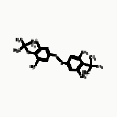 Cc1cc(SSc2cc(C)c(C(C)(C)C)c(C)c2)cc(C)c1OC(C)(C)C